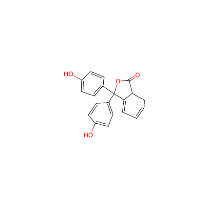 O=C1OC(c2ccc(O)cc2)(c2ccc(O)cc2)C2=CC=CCC12